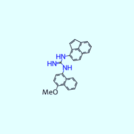 COc1ccc(NC(=N)Nc2ccc3cccc4c3c2C=C4)c2ccccc12